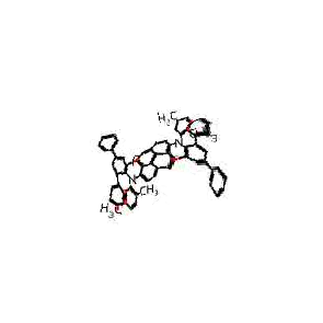 Cc1ccc(C)c(N(c2c(F)cc(-c3ccccc3)cc2-c2ccccc2)c2ccc3ccc4c(N(c5cc(C)ccc5C)c5c(F)cc(-c6ccccc6)cc5-c5ccccc5)ccc5ccc2c3c54)c1